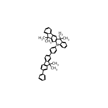 CC1(C)c2cc(-c3ccccc3)ccc2-c2ccc(-c3ccc(N4c5ccccc5C(C)(C)c5cc6c(cc54)C(C)(C)c4ccccc4-6)cc3)cc21